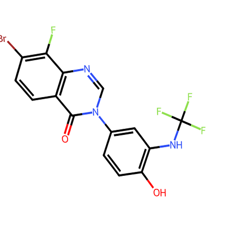 O=c1c2ccc(Br)c(F)c2ncn1-c1ccc(O)c(NC(F)(F)F)c1